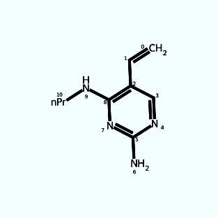 C=Cc1cnc(N)nc1NCCC